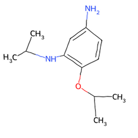 CC(C)Nc1cc(N)ccc1OC(C)C